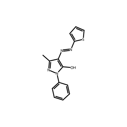 Cc1nn(-c2ccccc2)c(O)c1N=Nc1cccs1